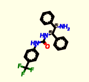 N[C@@H](c1ccccc1)[C@@H](NC(=O)Nc1ccc(C(F)(F)F)cc1)c1ccccc1